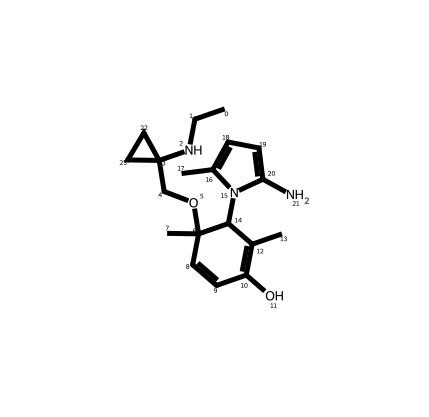 CCNC1(COC2(C)C=CC(O)=C(C)C2n2c(C)ccc2N)CC1